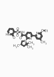 CCOc1cc(C)cc(-c2ccc(C(=O)NS(=O)(=O)c3ccc[nH]c3=O)c(N3C[C@@H](C)CC3(C)C)n2)n1